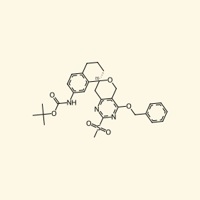 CC(C)(C)OC(=O)Nc1ccc2c(c1)[C@]1(CCC2)Cc2nc(S(C)(=O)=O)nc(OCc3ccccc3)c2CO1